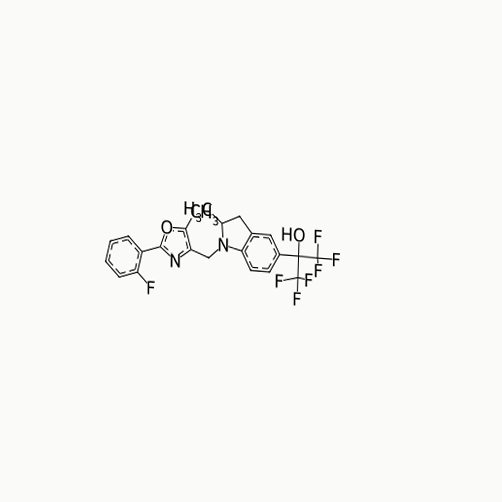 Cc1oc(-c2ccccc2F)nc1CN1c2ccc(C(O)(C(F)(F)F)C(F)(F)F)cc2CC1C